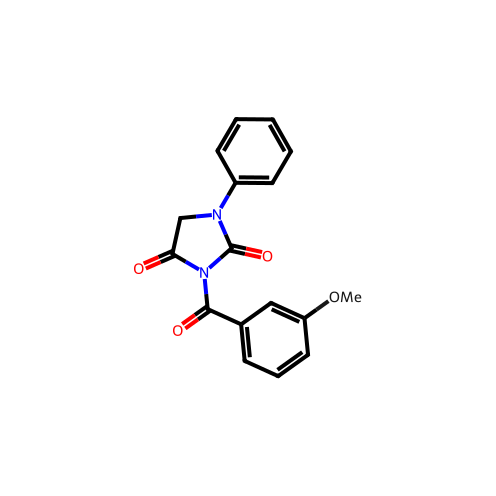 COc1cccc(C(=O)N2C(=O)CN(c3ccccc3)C2=O)c1